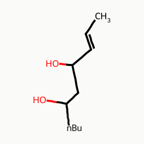 CC=CC(O)CC(O)CCCC